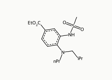 CCCN(CC(C)C)c1ccc(C(=O)OCC)cc1NS(C)(=O)=O